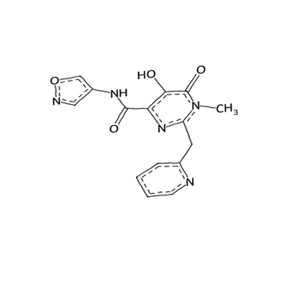 Cn1c(Cc2ccccn2)nc(C(=O)Nc2cnoc2)c(O)c1=O